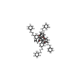 PC(c1ccc(CCCc2ccccc2)cc1)(c1ccc(CCCc2ccccc2)cc1)c1ccccc1-c1ccccc1C(P)(c1ccc(CCCc2ccccc2)cc1)c1ccc(CCCc2ccccc2)cc1